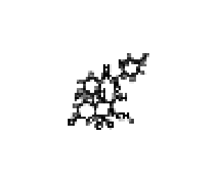 CN1C(=N)NC2(c3cc(NC(=O)c4ccc(F)cn4)ccc3F)CCC(=O)CC2S1(=O)=O